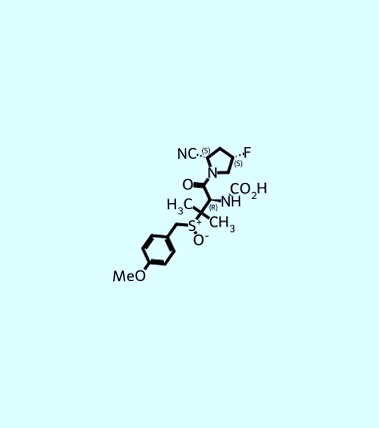 COc1ccc(C[S+]([O-])C(C)(C)[C@H](NC(=O)O)C(=O)N2C[C@@H](F)C[C@H]2C#N)cc1